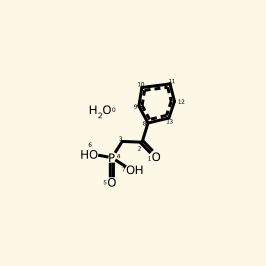 O.O=C(CP(=O)(O)O)c1ccccc1